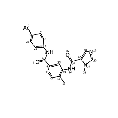 CC(=O)c1ccc(NC(=O)c2ccc(C)c(NC(=O)c3cncn3C)c2)cc1